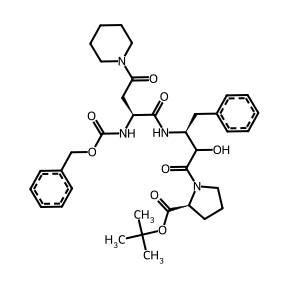 CC(C)(C)OC(=O)[C@@H]1CCCN1C(=O)C(O)[C@H](Cc1ccccc1)NC(=O)[C@H](CC(=O)N1CCCCC1)NC(=O)OCc1ccccc1